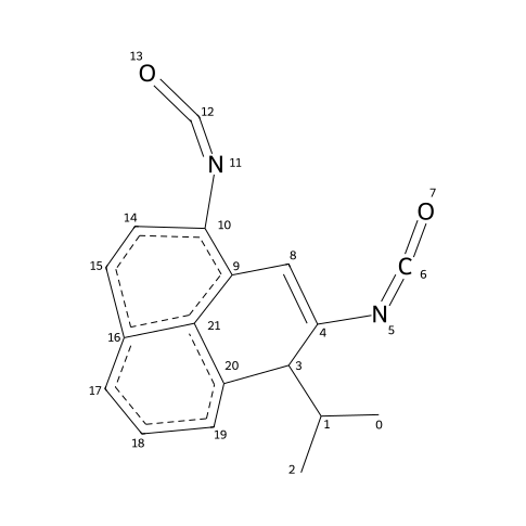 CC(C)C1C(N=C=O)=Cc2c(N=C=O)ccc3cccc1c23